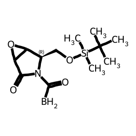 BC(=O)N1C(=O)C2OC2[C@H]1CO[Si](C)(C)C(C)(C)C